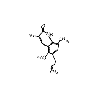 C=CCc1cc(C)c2[nH]c(=O)c(CC)cc2c1O